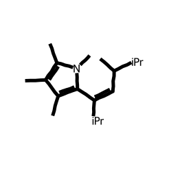 Cc1c(C)c(/C(=C\C(C)C(C)C)C(C)C)n(C)c1C